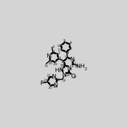 Cc1cc(-c2c(-c3ccccc3)nc(N)[n+]3c(=O)n(Cc4ncc(F)cn4)[nH]c23)cc(C)n1